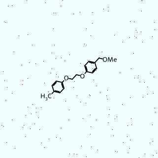 COCc1ccc(OCCOc2ccc(C)cc2)cc1